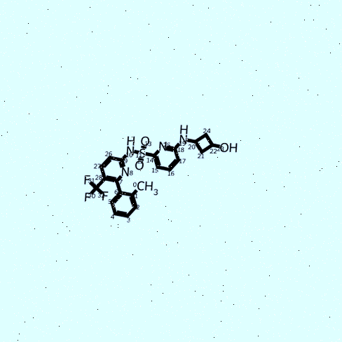 Cc1ccccc1-c1nc(NS(=O)(=O)c2cccc(NC3CC(O)C3)n2)ccc1C(F)(F)F